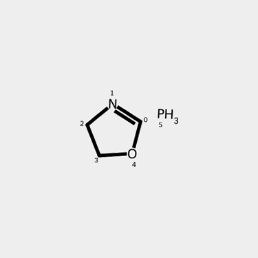 C1=NCCO1.P